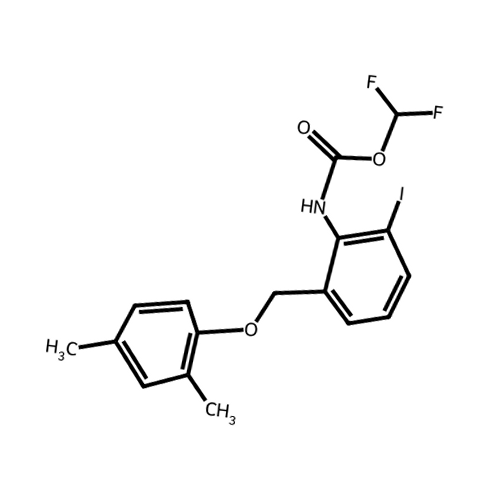 Cc1ccc(OCc2cccc(I)c2NC(=O)OC(F)F)c(C)c1